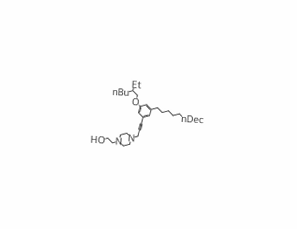 CCCCCCCCCCCCCCCc1cc(C#CCN2CCN(CCO)CC2)cc(OCC(CC)CCCC)c1